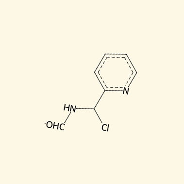 O=[C]NC(Cl)c1ccccn1